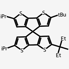 CCC(C)(CC)c1cc2c(s1)-c1sc(C(C)C)cc1C21c2cc(C(C)C)sc2-c2sc(C(C)(C)C)cc21